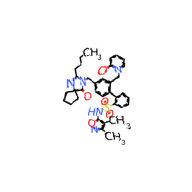 CCCCC1=NC2(CCCC2)C(=O)N1Cc1ccc(-c2ccccc2S(=O)(=O)Nc2onc(C)c2C)c(Cn2ccccc2=O)c1